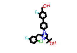 CC(C)(O)c1cn(-c2ccc(-c3ccc(CO)c(F)c3)cc2)c(Cc2cc(F)ccc2Cl)n1